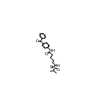 CC(C)S(=O)(=O)NCCCCC(=O)Nc1ccc(C(=O)c2ccccc2)cc1